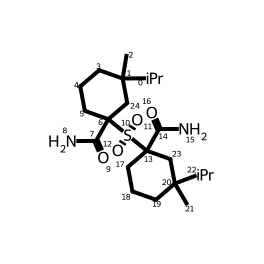 CC(C)C1(C)CCCC(C(N)=O)(S(=O)(=O)C2(C(N)=O)CCCC(C)(C(C)C)C2)C1